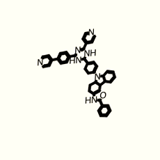 C1=CC2C3C4=C(CCC3N(C3=CC=C(C5NC(c6ccncc6)=NC(c6ccc(-c7ccncc7)cc6)N5)CC3)C2C=C1)NC(c1ccccc1)O4